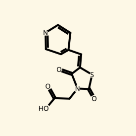 O=C(O)CN1C(=O)SC(=Cc2ccncc2)C1=O